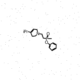 CC(C)C1=CCN(CCP(C)(=O)Oc2ccccc2)CC1